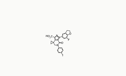 O=C(O)c1nn(-c2cc(F)c3c(c2)CCO3)c2c1C1(CC1)CN(c1ccc(I)cc1)C2=O